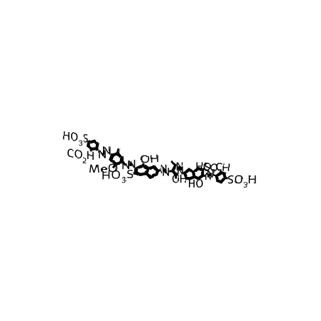 COc1cc(/N=N/c2ccc(S(=O)(=O)O)cc2C(=O)O)c(C)cc1/N=N/c1c(S(=O)(=O)O)cc2ccc(/N=N/c3c(C)nn(-c4ccc5c(O)c(/N=N/c6ccc(S(=O)(=O)O)cc6C(=O)O)c(S(=O)(=O)O)cc5c4)c3O)cc2c1O